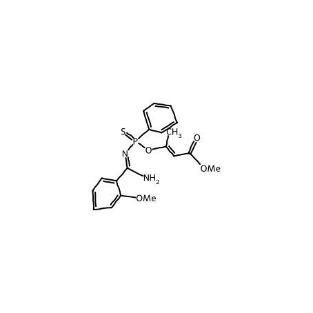 COC(=O)C=C(C)OP(=S)(N=C(N)c1ccccc1OC)c1ccccc1